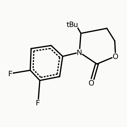 CC(C)(C)C1CCOC(=O)N1c1ccc(F)c(F)c1